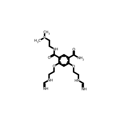 CN(C)CCNC(=O)c1cc(C(N)=O)c(OCCNC=N)cc1OCCNC=N